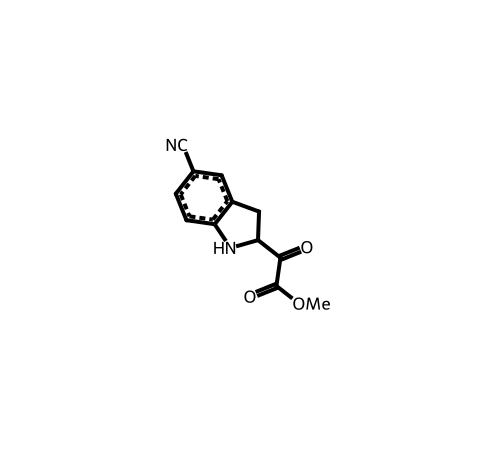 COC(=O)C(=O)C1Cc2cc(C#N)ccc2N1